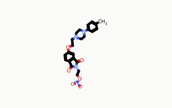 Cc1ccc(N2CCN(CCOc3ccc4c(c3)C(=O)N(CCO[N+](=O)[O-])C4=O)CC2)cc1